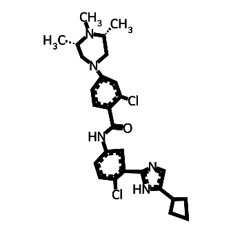 C[C@@H]1CN(c2ccc(C(=O)Nc3ccc(Cl)c(-c4ncc(C5CCC5)[nH]4)c3)c(Cl)c2)C[C@H](C)N1C